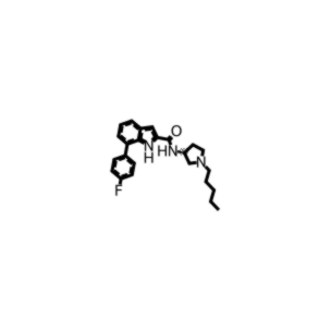 CCCCCN1CC[C@H](NC(=O)c2cc3cccc(-c4ccc(F)cc4)c3[nH]2)C1